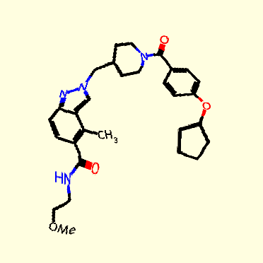 COCCNC(=O)c1ccc2nn(CC3CCN(C(=O)c4ccc(OC5CCCC5)cc4)CC3)cc2c1C